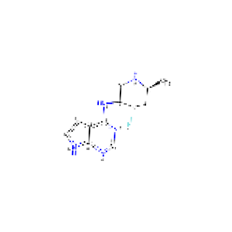 C[C@H]1C[C@H](F)[C@@H](Nc2ncnc3[nH]ccc23)CN1